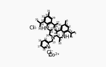 Cc1cc(C(C)C)c(NC(C)CN(Cc2ccccn2)CC(C)Nc2c(C(C)C)cc(C)cc2C(C)C)c(C(C)C)c1.[Cl-].[Cl-].[Co+2]